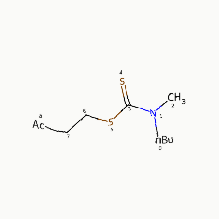 CCCCN(C)C(=S)SCCC(C)=O